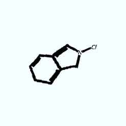 ClN1C=C2C=CCC=C2C1